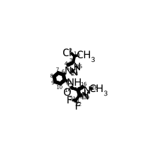 CC(Cl)c1cn(-c2ccccc2NC(=O)c2cn(C)nc2C(F)F)nn1